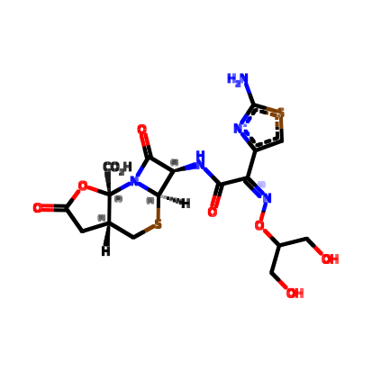 Nc1nc(/C(=N/OC(CO)CO)C(=O)N[C@@H]2C(=O)N3[C@@H]2SC[C@@H]2CC(=O)O[C@@]23C(=O)O)cs1